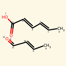 C/C=C/C=C/C(=O)O.C/C=C/C=O